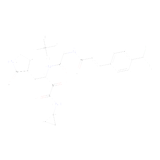 CC(C)(C)C[C@H](NC(=O)/C=C/c1ccc(C(F)F)cc1)C(=O)NC(CC1CCNC1=O)C(=O)C(=O)NC1CC1